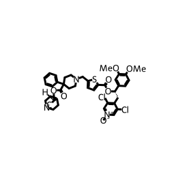 COc1ccc([C@H](Cc2c(Cl)c[n+]([O-])cc2Cl)OC(=O)c2ccc(CN3CCC(C(=O)O[C@H]4CN5CCC4CC5)(c4ccccc4)CC3)s2)cc1OC